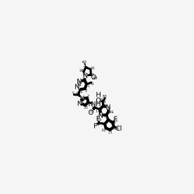 Cc1cc(C(C)n2cc(NC(=O)c3nc(-c4c(C(F)F)ccc(Cl)c4F)cnc3C(C)O)cn2)nnc1N1C[C@@H](C)CC1=O